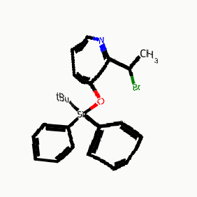 CC(Br)c1ncccc1O[Si](c1ccccc1)(c1ccccc1)C(C)(C)C